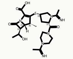 CC(=N)N1CCN(C(=O)[C@@H]2C[C@H](SC3=C(C(=O)O)N4C(=O)[C@H](C(C)O)[C@H]4[C@H]3C)CN2C(C)=N)CC1